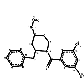 CC(=O)ONC1CCN(C(=O)c2cc(C(F)(F)F)cc(C(F)(F)F)c2)C(Cc2ccccc2)C1